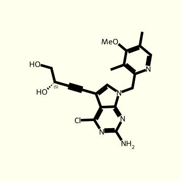 COc1c(C)cnc(Cn2cc(C#C[C@H](O)CO)c3c(Cl)nc(N)nc32)c1C